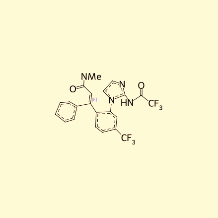 CNC(=O)/C=C(\c1ccccc1)c1ccc(C(F)(F)F)cc1-n1ccnc1NC(=O)C(F)(F)F